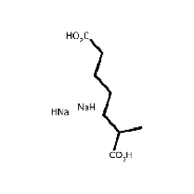 CC(CCCCC(=O)O)C(=O)O.[NaH].[NaH]